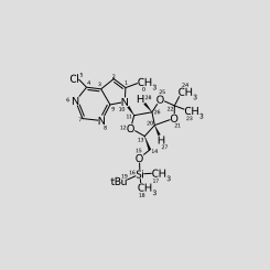 Cc1cc2c(Cl)ncnc2n1[C@@H]1O[C@H](CO[Si](C)(C)C(C)(C)C)[C@H]2OC(C)(C)O[C@H]21